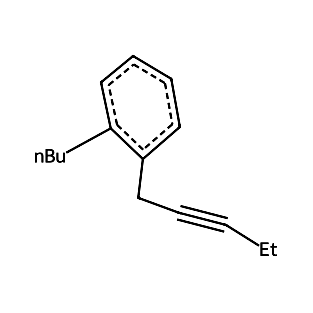 [CH2]CCCc1ccccc1CC#CCC